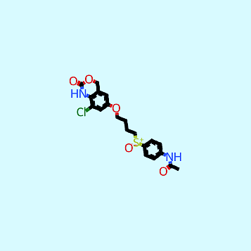 CC(=O)Nc1ccc([S+]([O-])CCCCOc2cc(Cl)c3c(c2)COC(=O)N3)cc1